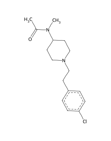 CC(=O)N(C)C1CCN(CCc2ccc(Cl)cc2)CC1